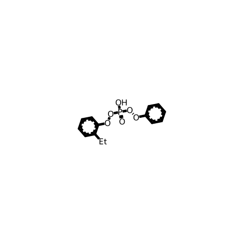 CCc1ccccc1OOP(=O)(O)OOc1ccccc1